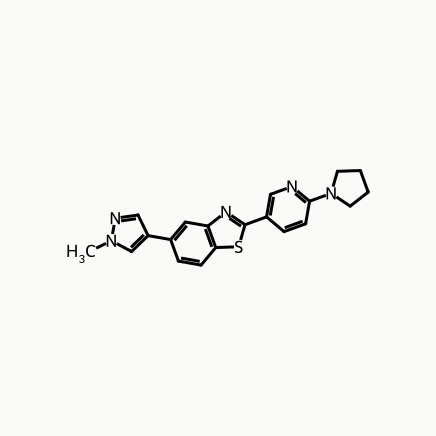 Cn1cc(-c2ccc3sc(-c4ccc(N5CCCC5)nc4)nc3c2)cn1